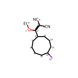 CCOC(=C(C#N)C#N)C1CCCCC(I)CCC1